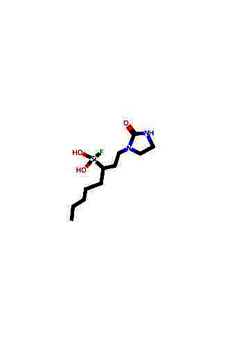 CCCCCC(CCN1CCNC1=O)[Si](O)(O)F